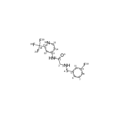 O=C(CNSc1cccc(F)c1)Nc1ccnc(C(F)(F)F)c1